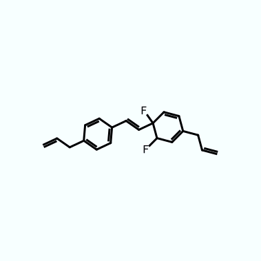 C=CCC1=CC(F)C(F)(C=Cc2ccc(CC=C)cc2)C=C1